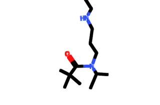 CCNCCCN(C(=O)C(C)(C)C)C(C)C